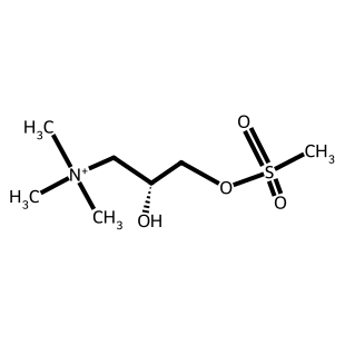 C[N+](C)(C)C[C@@H](O)COS(C)(=O)=O